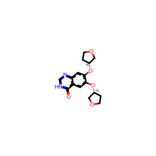 O=c1[nH]cnc2cc(O[C@@H]3CCOC3)c(O[C@@H]3CCOC3)cc12